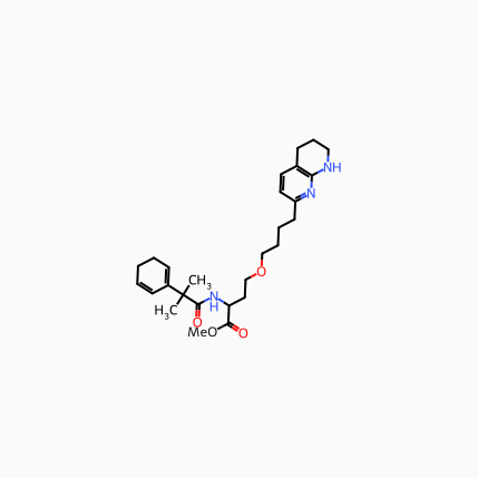 COC(=O)C(CCOCCCCc1ccc2c(n1)NCCC2)NC(=O)C(C)(C)C1=CCCC=C1